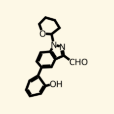 O=Cc1nn(C2CCCCO2)c2ccc(-c3ccccc3O)cc12